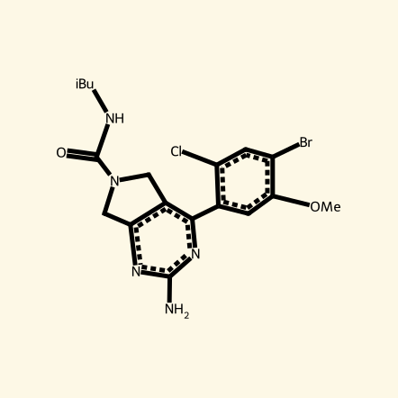 CCC(C)NC(=O)N1Cc2nc(N)nc(-c3cc(OC)c(Br)cc3Cl)c2C1